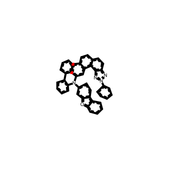 c1ccc(-c2ccccc2N(c2ccc3c(c2)oc2ccccc23)c2ccc3ccc4ccc5nn(-c6ccccc6)nc5c4c3c2)cc1